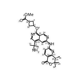 COC(=O)N1CC(Oc2ncc(C(C)(C)N)c3cc(Nc4ccc5c(n4)[C@@H](C)C(C)(C)OC5=O)ncc23)C1